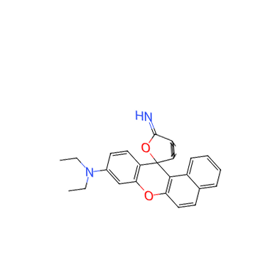 CCN(CC)c1ccc2c(c1)Oc1ccc3ccccc3c1C21OC(=N)c2ccccc21